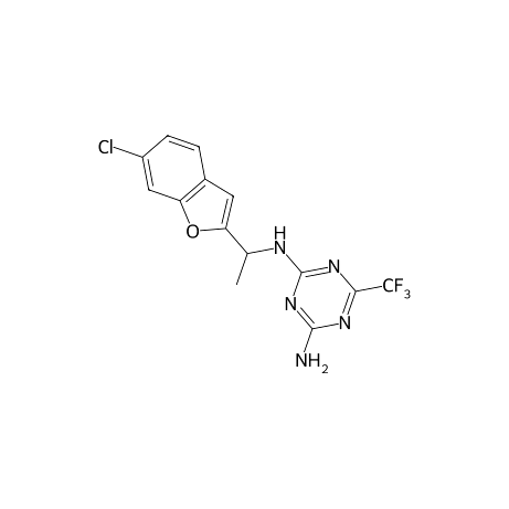 CC(Nc1nc(N)nc(C(F)(F)F)n1)c1cc2ccc(Cl)cc2o1